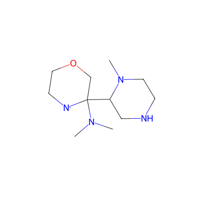 CN1CCNCC1C1(N(C)C)COCC[N]1